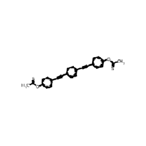 CC(=S)Oc1ccc(C#Cc2ccc(C#Cc3ccc(OC(C)=S)cc3)cc2)cc1